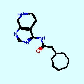 O=C(CC1CCCCCC1)Nc1ncnc2c1CCNC2